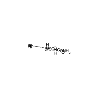 NC(=O)COCCOCCNC(=O)COCCOCCNC(=O)CCCCCCCCCCCCCCCc1nnn[nH]1